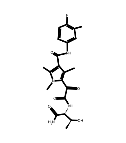 Cc1cc(NC(=O)c2c(C)c(C(=O)C(=O)N[C@@H](C(N)=O)[C@H](C)O)n(C)c2C)ccc1F